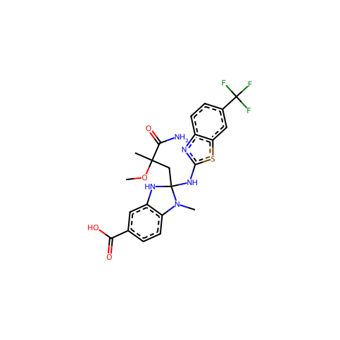 COC(C)(CC1(Nc2nc3ccc(C(F)(F)F)cc3s2)Nc2cc(C(=O)O)ccc2N1C)C(N)=O